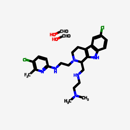 CN(C)CCNCC1c2[nH]c3ccc(Cl)cc3c2CCN1CCNc1ccc(Cl)c(C(F)(F)F)n1.O=CO.O=CO